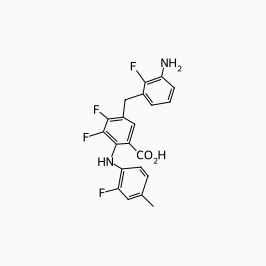 Cc1ccc(Nc2c(C(=O)O)cc(Cc3cccc(N)c3F)c(F)c2F)c(F)c1